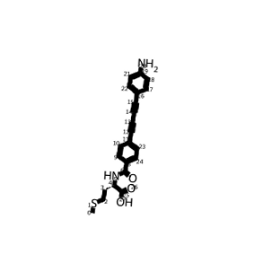 CSCC[C@H](NC(=O)c1ccc(C#CC#Cc2ccc(N)cc2)cc1)C(=O)O